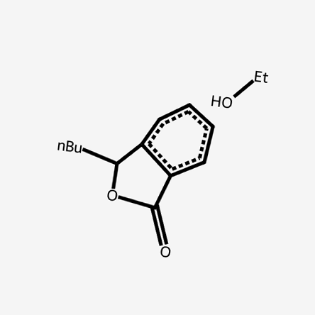 CCCCC1OC(=O)c2ccccc21.CCO